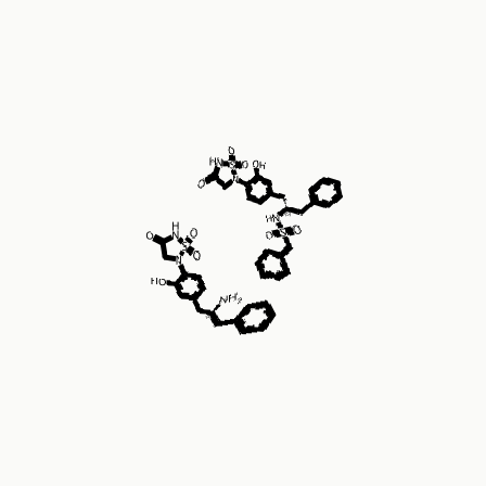 N[C@@H](Cc1ccccc1)Cc1ccc(N2CC(=O)NS2(=O)=O)c(O)c1.O=C1CN(c2ccc(C[C@H](Cc3ccccc3)NS(=O)(=O)Cc3ccccc3)cc2O)S(=O)(=O)N1